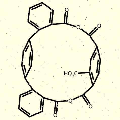 O=C1OC(=O)c2ccccc2-c2ccc(cc2)-c2ccccc2C(=O)OC(=O)c2ccc1cc2C(=O)O